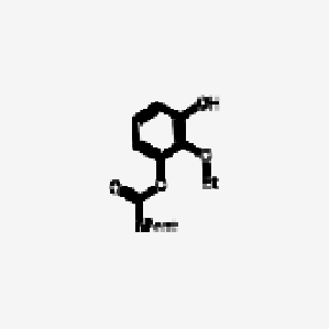 CCCCCC(=O)Oc1cccc(O)c1OCC